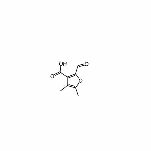 Cc1oc(C=O)c(C(=O)O)c1C